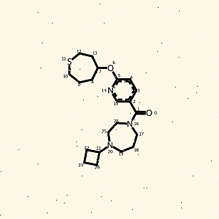 O=C(c1ccc(OC2CCCSCC2)nc1)N1CCCN(C2CCC2)CC1